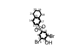 O=S(=O)(c1cc(Br)c(O)c(Br)c1)c1ccc2c(c1)CCCC2